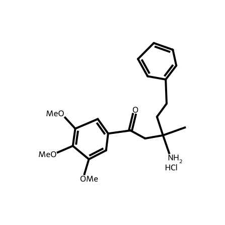 COc1cc(C(=O)CC(C)(N)CCc2ccccc2)cc(OC)c1OC.Cl